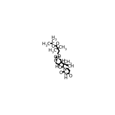 C#C[C@]1(C)[C@@H]2CP(=O)(OCCC(C)(C)C(=O)OC(C)C)OC[C@H]2O[C@H]1n1ccc(=O)[nH]c1=O